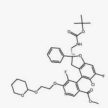 COC(=O)c1cnc(OCCOC2CCCCO2)c(F)c1-c1c(Cl)c(F)cc2c1C[C@@](CNC(=O)OC(C)(C)C)(c1ccccc1)O2